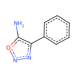 Nc1onnc1-c1ccccc1